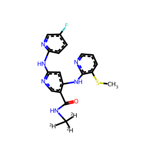 [2H]C([2H])([2H])NC(=O)c1cnc(Nc2ccc(F)cn2)cc1Nc1ncccc1SC